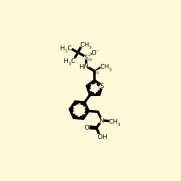 C[C@H](N[S@+]([O-])C(C)(C)C)c1cc(-c2ccccc2CN(C)C(=O)O)cs1